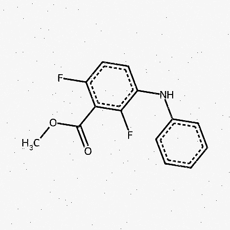 COC(=O)c1c(F)ccc(Nc2ccccc2)c1F